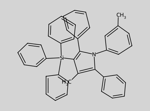 Cc1cccc(-n2c(-c3ccccc3)c(C)c([Si](c3ccccc3)(c3ccccc3)c3ccccc3)c2-c2ccccc2)c1